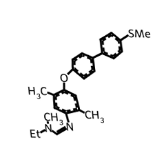 CCN(C)/C=N\c1cc(C)c(Oc2ccc(-c3ccc(SC)cc3)cc2)cc1C